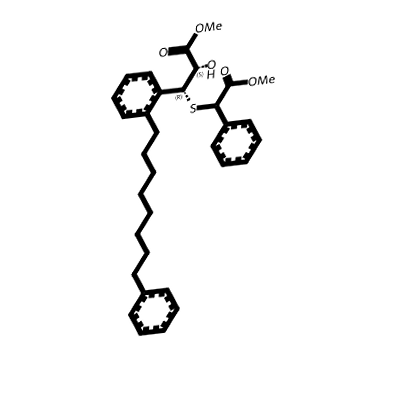 COC(=O)C(S[C@H](c1ccccc1CCCCCCCCc1ccccc1)[C@@H](O)C(=O)OC)c1ccccc1